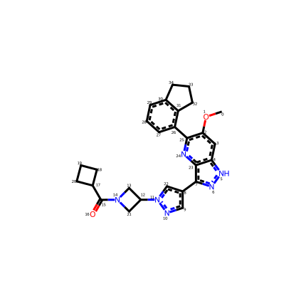 COc1cc2[nH]nc(-c3cnn(C4CN(C(=O)C5CCC5)C4)c3)c2nc1-c1cccc2c1CCC2